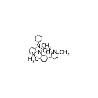 Cc1ccc2c(n1)oc1c(N3c4ncccc4N(c4ccccc4)C3(C)C)c(C)ccc12